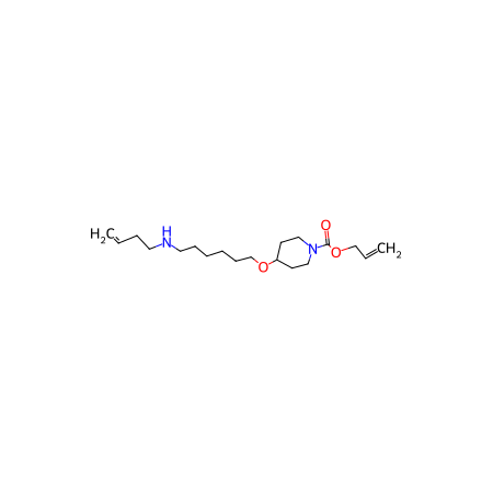 C=CCCNCCCCCCOC1CCN(C(=O)OCC=C)CC1